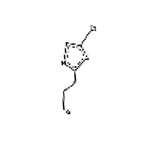 CCc1cnc(SCC(C)(C)C)s1